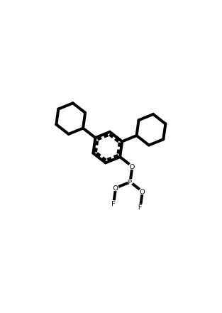 FOP(OF)Oc1ccc(C2CCCCC2)cc1C1CCCCC1